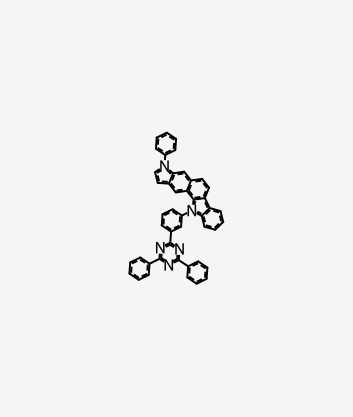 c1ccc(-c2nc(-c3ccccc3)nc(-c3cccc(-n4c5ccccc5c5ccc6cc7c(ccn7-c7ccccc7)cc6c54)c3)n2)cc1